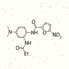 CCC(=O)Nc1cc(N(C)C)ccc1NC(=O)c1ccc([N+](=O)[O-])o1